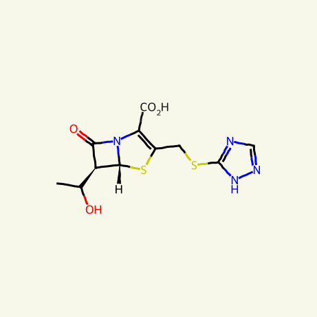 CC(O)[C@H]1C(=O)N2C(C(=O)O)=C(CSc3ncn[nH]3)S[C@H]12